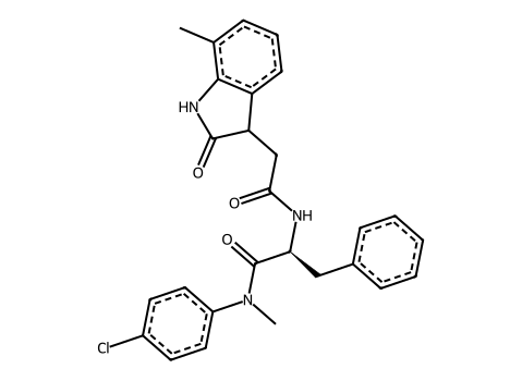 Cc1cccc2c1NC(=O)C2CC(=O)N[C@@H](Cc1ccccc1)C(=O)N(C)c1ccc(Cl)cc1